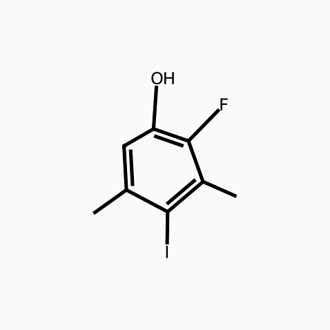 Cc1cc(O)c(F)c(C)c1I